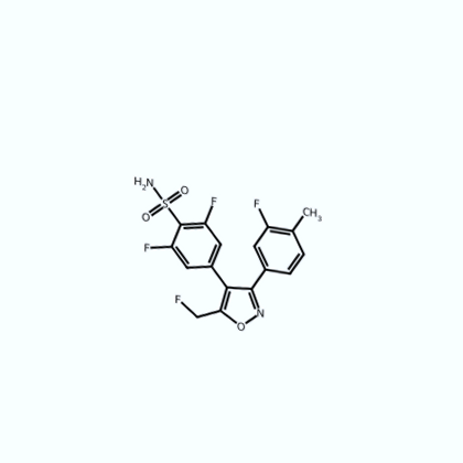 Cc1ccc(-c2noc(CF)c2-c2cc(F)c(S(N)(=O)=O)c(F)c2)cc1F